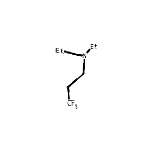 CCN(CC)C[CH]C(F)(F)F